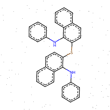 c1ccc(Nc2c(Sc3ccc4ccccc4c3Nc3ccccc3)ccc3ccccc23)cc1